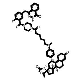 CC(=O)O[C@]1(C(C)=O)CC[C@H]2[C@@H]3CCC4=CC(=O)CCC4=C3[C@@H](c3ccc(N(C)CCCCCC(=O)N4CCN(C(=O)c5cc(Cc6n[nH]c(=O)c7ccccc67)ccc5F)CC4)cc3)C[C@@]21C